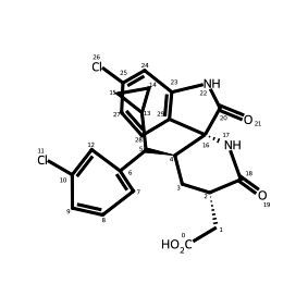 O=C(O)C[C@@H]1C[C@@H](C(c2cccc(Cl)c2)C2CC2)[C@]2(NC1=O)C(=O)Nc1cc(Cl)ccc12